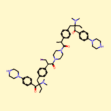 CCC(Cc1ccc(C(C)C(=O)N2CCN(C(=O)C(CI)c3ccc(CC(CC)(C(=O)c4ccc(N5CCNCC5)cc4)N(C)C)cc3)CC2)cc1)(C(=O)c1ccc(N2CCNCC2)cc1)N(C)C